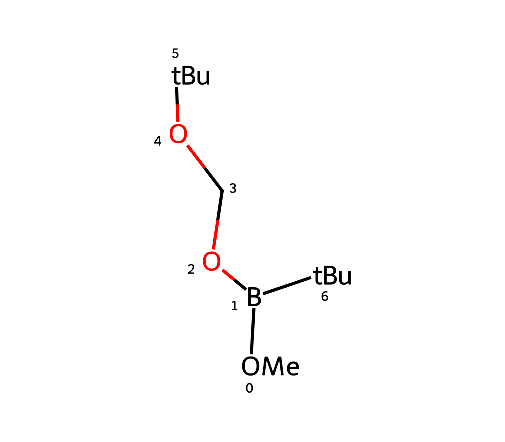 COB(OCOC(C)(C)C)C(C)(C)C